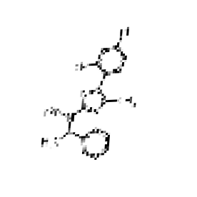 CCCN(c1nc(-c2ccc(Cl)cc2Cl)c(C)s1)C(C)c1ccccc1